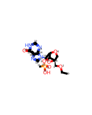 CCOC[C@]12COC(C1OP(C)(=O)O)[C@H](n1cnc3c(=O)[nH]cnc31)O2